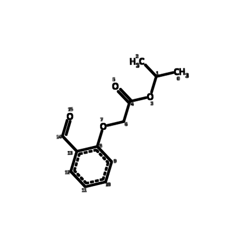 CC(C)OC(=O)COc1ccccc1C=O